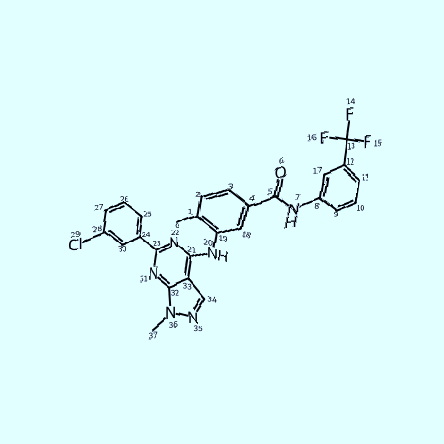 Cc1ccc(C(=O)Nc2cccc(C(F)(F)F)c2)cc1Nc1nc(-c2cccc(Cl)c2)nc2c1cnn2C